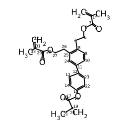 C=C(C)C(=O)OCCc1ccc(-c2ccc(OC(=O)C(=C)C)cc2)cc1CCOC(=O)C(=C)C